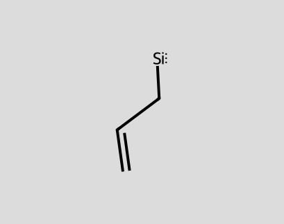 C=CC[Si]